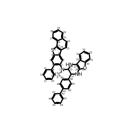 CN(c1cc2c(cc1-c1ccccc1)sc1c3ccccc3ccc21)C1Nc2c(oc3ccccc23)NC1c1ccc(-c2ccccc2)cc1